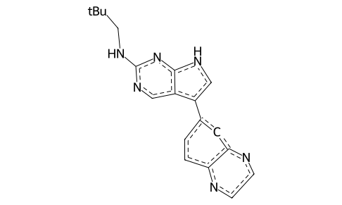 CC(C)(C)CNc1ncc2c(-c3ccc4nccnc4c3)c[nH]c2n1